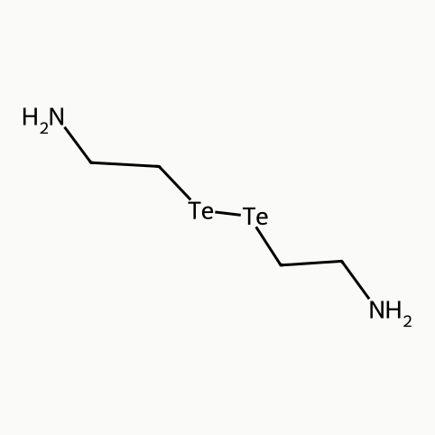 NCC[Te][Te]CCN